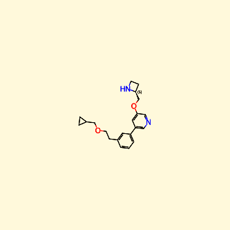 c1cc(CCOCC2CC2)cc(-c2cncc(OC[C@@H]3CCN3)c2)c1